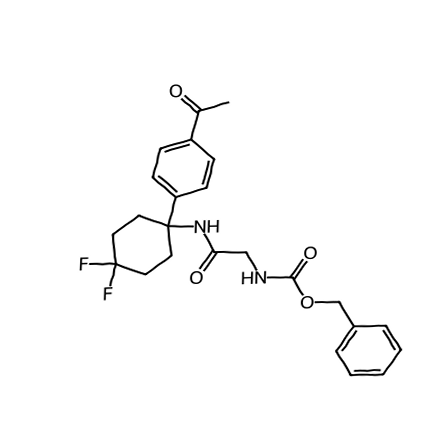 CC(=O)c1ccc(C2(NC(=O)CNC(=O)OCc3ccccc3)CCC(F)(F)CC2)cc1